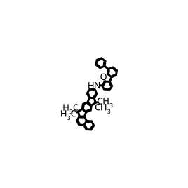 CC1(C)c2cc(Nc3cccc4c3oc3c(-c5ccccc5)cccc34)ccc2-c2cc3c(cc21)-c1c(ccc2ccccc12)C3(C)C